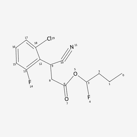 CCCC(F)OC(=O)CC(C#N)c1c(F)cccc1Cl